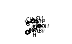 Cc1ncsc1-c1ccc([C@H](C)NC(=O)[C@@H]2C[C@@H](O)CN2C(=O)[C@@H](NC(=O)N2CC3(CCCCC3)C2)C(C)(C)C)cc1